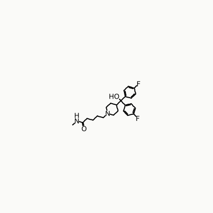 CNC(=O)CCCCN1CCC(C(O)(c2ccc(F)cc2)c2ccc(F)cc2)CC1